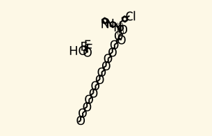 COCCOCCOCCOCCOCCOCCOCCOCCOCCOCCOCCOCCC(=O)OC[C@H]1CN(C2CCN(c3ccccn3)CC2)[C@@H](Cc2ccc(Cl)cc2)CO1.O=C(O)C(F)(F)F